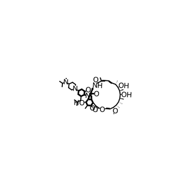 CO[C@H]1/C=C/O[C@@]2(C)Oc3c(C)c(O)c4c(=O)c(c5oc6cc(N7CCC(N(C)C(C)C)CC7)cc(CC(C)C)c6nc-5c4c3C2=O)NC(=O)/C(C)=C\C=C\[C@H](C)[C@H](O)[C@@H](C)[C@@H](O)[C@@H](C)[C@H](C)[C@@H]1C